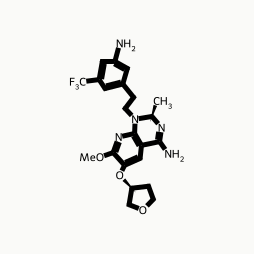 COc1nc2c(cc1O[C@H]1CCOC1)C(N)=N[C@H](C)N2CCc1cc(N)cc(C(F)(F)F)c1